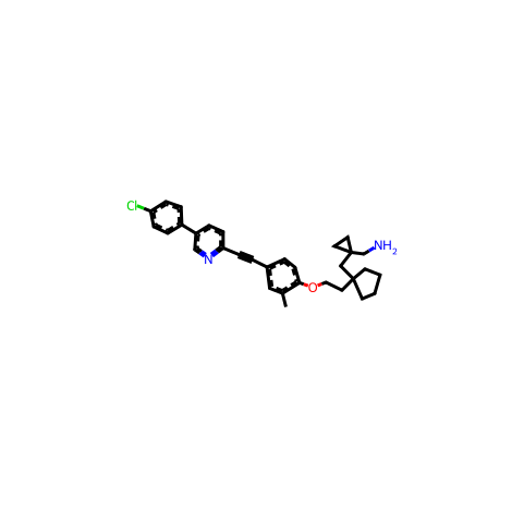 Cc1cc(C#Cc2ccc(-c3ccc(Cl)cc3)cn2)ccc1OCCC1(CC2(CN)CC2)CCCC1